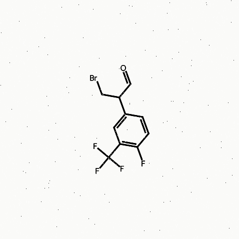 O=CC(CBr)c1ccc(F)c(C(F)(F)F)c1